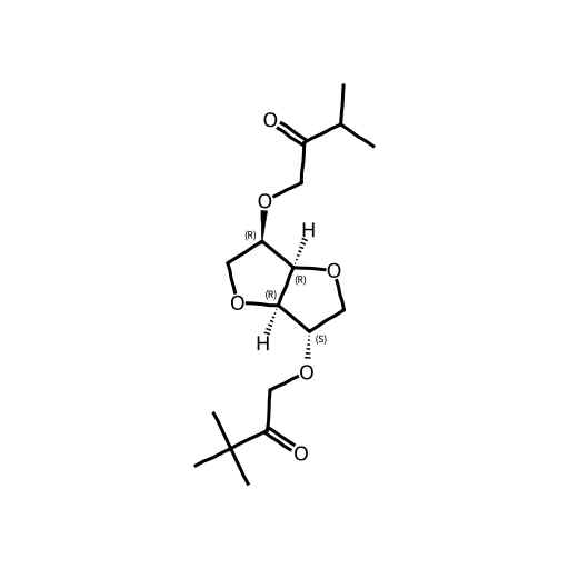 CC(C)C(=O)CO[C@@H]1CO[C@H]2[C@@H]1OC[C@@H]2OCC(=O)C(C)(C)C